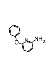 Nc1cccc(Oc2ccccc2)n1